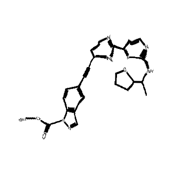 CC(Nc1nccc(-c2nccc(C#Cc3ccc4c(cnn4C(=O)OC(C)(C)C)c3)n2)n1)C1CCCO1